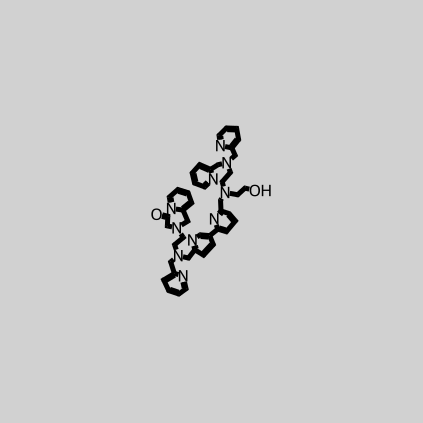 O=CCN(CCN(Cc1ccccn1)Cc1ccc(-c2cccc(CN(CCO)CCN(Cc3ccccn3)Cc3ccccn3)n2)cn1)Cc1ccccn1